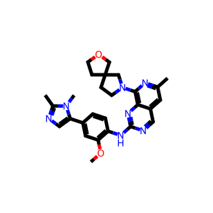 COc1cc(-c2cnc(C)n2C)ccc1Nc1ncc2cc(C)nc(N3CCC4(CCOC4)C3)c2n1